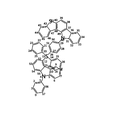 c1ccc(-n2c3ccccc3c3c(S(c4ccccc4)(c4ccccc4)c4ccc(-n5c6ccccc6c6ccc7sc8ccccc8c7c65)cc4)cccc32)cc1